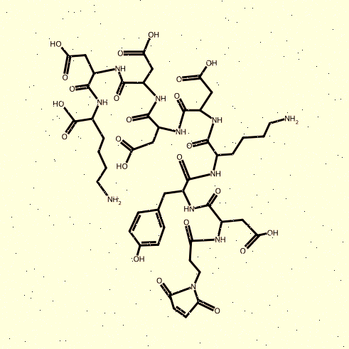 NCCCCC(NC(=O)C(CC(=O)O)NC(=O)C(CC(=O)O)NC(=O)C(CC(=O)O)NC(=O)C(CC(=O)O)NC(=O)C(CCCCN)NC(=O)C(Cc1ccc(O)cc1)NC(=O)C(CC(=O)O)NC(=O)CCN1C(=O)C=CC1=O)C(=O)O